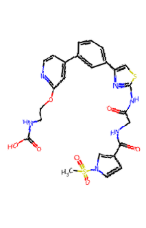 CS(=O)(=O)n1ccc(C(=O)NCC(=O)Nc2nc(-c3cccc(-c4ccnc(OCCNC(=O)O)c4)c3)cs2)c1